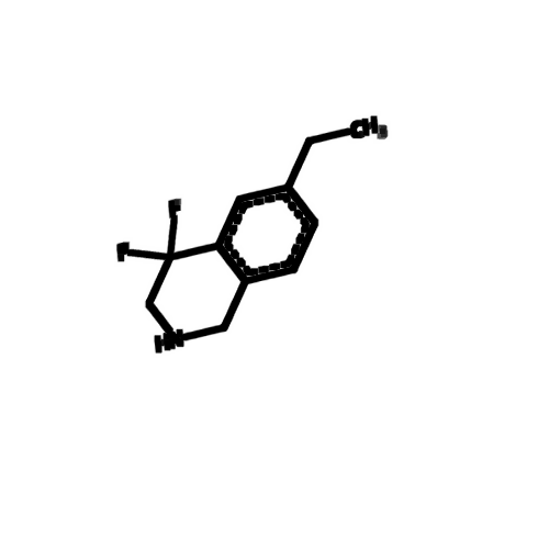 CCc1ccc2c(c1)C(F)(F)CNC2